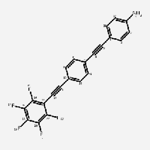 Nc1ccc(C#Cc2ccc(C#Cc3c(F)c(F)c(F)c(F)c3F)cc2)cc1